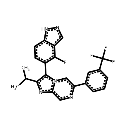 CC(C)c1nc2cnc(-c3cccc(C(F)(F)F)c3)cn2c1-c1ccc2[nH]ncc2c1F